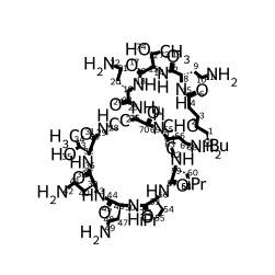 CC[C@H](C)CCCCC(=O)N[C@@H](CCN)C(=O)N[C@H](C(=O)N[C@@H](CCN)C(=O)N[C@H]1CCNC(=O)[C@H](C(C)O)NC(=O)[C@H](CCN)NC(=O)[C@H](CCN)NC(=O)[C@H](CC(C)C)NC(=O)[C@@H](CC(C)C)NC[C@](C=O)(CCN)NC1=O)C(C)O